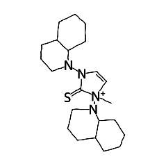 C[N+]1(N2CCCC3CCCCC32)C=CN(N2CCCC3CCCCC32)C1=S